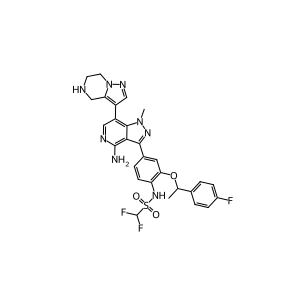 CC(Oc1cc(-c2nn(C)c3c(-c4cnn5c4CNCC5)cnc(N)c23)ccc1NS(=O)(=O)C(F)F)c1ccc(F)cc1